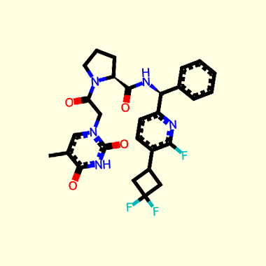 Cc1cn(CC(=O)N2CCC[C@H]2C(=O)N[C@@H](c2ccccc2)c2ccc(C3CC(F)(F)C3)c(F)n2)c(=O)[nH]c1=O